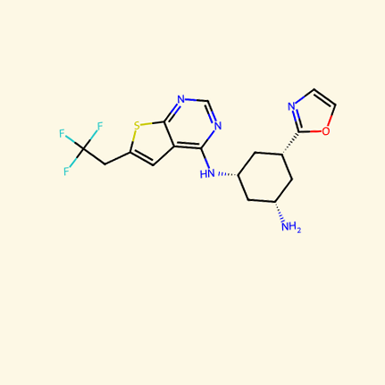 N[C@@H]1C[C@H](Nc2ncnc3sc(CC(F)(F)F)cc23)C[C@H](c2ncco2)C1